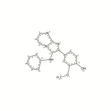 COc1cc(-c2nc3ncccn3c2Nc2ccccc2)ccc1O